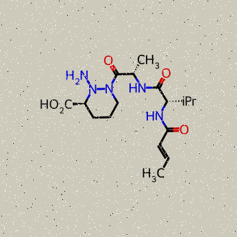 C/C=C/C(=O)N[C@H](C(=O)N[C@@H](C)C(=O)N1CCC[C@@H](C(=O)O)N1N)C(C)C